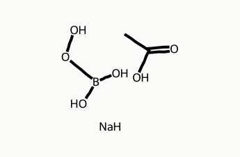 CC(=O)O.OOB(O)O.[NaH]